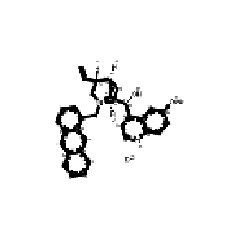 C=C[C@H]1C[N+]2(Cc3cccc4cc5ccccc5cc34)CC[C@H]1C[C@H]2[C@H](O)c1ccnc2ccc(OC)cc12.[Br-]